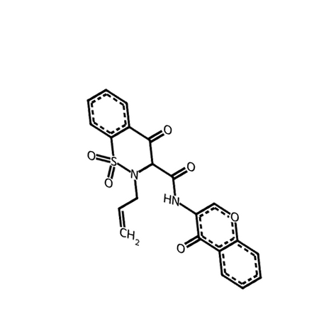 C=CCN1C(C(=O)Nc2coc3ccccc3c2=O)C(=O)c2ccccc2S1(=O)=O